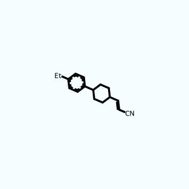 CCc1ccc(C2CCC(C=CC#N)CC2)cc1